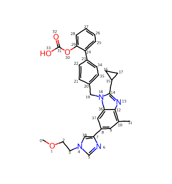 COCCn1cnc(-c2cc(C)c3nc(C4CC4)n(Cc4ccc(-c5ccccc5OC(=O)O)cc4)c3c2)c1